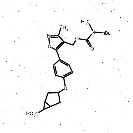 CCCCN(C)C(=O)OCc1c(C)noc1-c1ccc(OC2CC3C(C2)C3C(=O)O)cc1